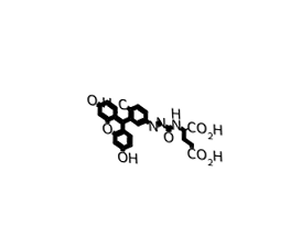 Cc1ccc(/N=N/C(=O)N[C@@H](CCC(=O)O)C(=O)O)cc1-c1c2ccc(=O)cc-2oc2cc(O)ccc12